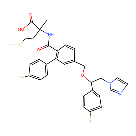 CSCCC(C)(NC(=O)c1ccc(COC(Cn2ccnc2)c2ccc(F)cc2)cc1-c1ccc(F)cc1)C(=O)O